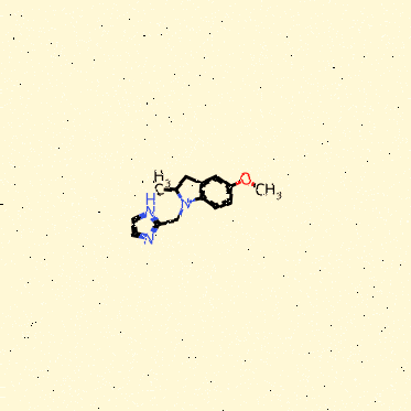 COc1ccc2c(c1)CC(C)N2Cc1ncc[nH]1